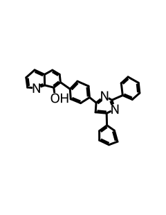 Oc1c(-c2ccc(-c3cc(-c4ccccc4)nc(-c4ccccc4)n3)cc2)ccc2cccnc12